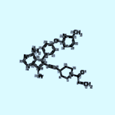 C=CC(=O)N1CCC(C#Cc2c(-c3ccc(Oc4cccc(C)n4)cc3)c3c(N)ncnc3n2C(C)C)CC1